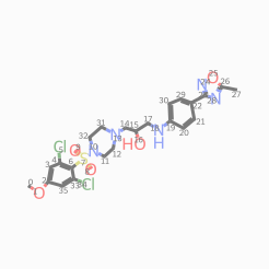 COc1cc(Cl)c(S(=O)(=O)N2CCN(CC(O)CNc3ccc(-c4noc(C)n4)cc3)CC2)c(Cl)c1